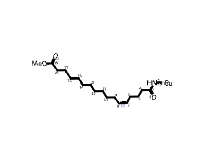 CCCCNC(=O)CCC/C=C\CCCCCCCCCCC(=O)OC